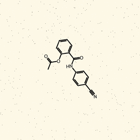 CC(=O)Oc1ccccc1C(=O)Nc1ccc(C#N)cc1